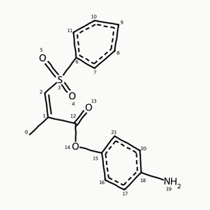 CC(=CS(=O)(=O)c1ccccc1)C(=O)Oc1ccc(N)cc1